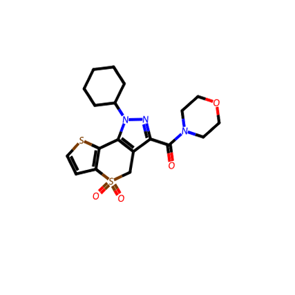 O=C(c1nn(C2CCCCC2)c2c1CS(=O)(=O)c1ccsc1-2)N1CCOCC1